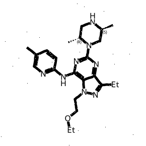 CCOCCn1nc(CC)c2nc(N3C[C@H](C)NC[C@H]3C)nc(Nc3ccc(C)cn3)c21